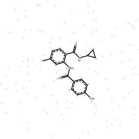 Cc1ccc(C(=O)NC2CC2)c(NC(=O)c2ccc(O)cc2)c1